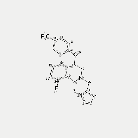 Cn1ccnc1CN(CCOc1ccc(C(F)(F)F)cc1)Cc1ccccc1F